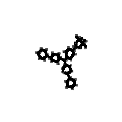 C=C(/C=C\C(=C/C)N(c1ccc(B2OC(C)(C)C(C)(C)O2)cc1)c1ccc(-c2ccccc2)cc1)c1ccccc1